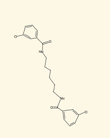 O=C(NCCCCCCNC(=O)c1cccc(Cl)c1)c1cccc(Cl)c1